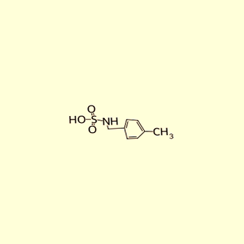 Cc1ccc(CNS(=O)(=O)O)cc1